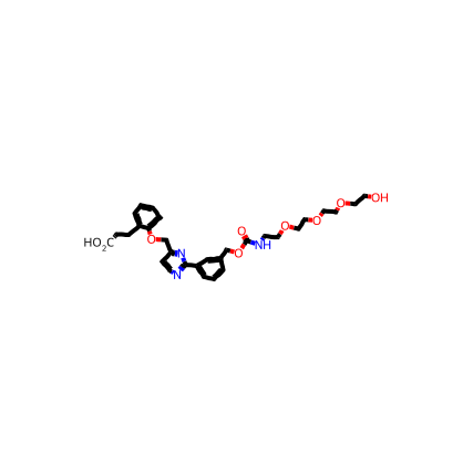 O=C(O)CCc1ccccc1OCc1ccnc(-c2cccc(COC(=O)NCCOCCOCCOCCO)c2)n1